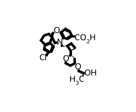 C[C@H](O)CO[C@H]1CCO[C@H]([C@@H]2CC[C@H]2CN2CC3(CCCc4cc(Cl)ccc43)COc3ccc(C(=O)O)cc32)C1